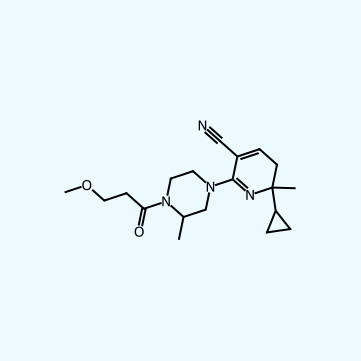 COCCC(=O)N1CCN(C2=NC(C)(C3CC3)CC=C2C#N)CC1C